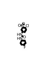 O=C(Nc1ccc(F)cc1)Nc1ccc(Cl)c([N+](=O)[O-])c1